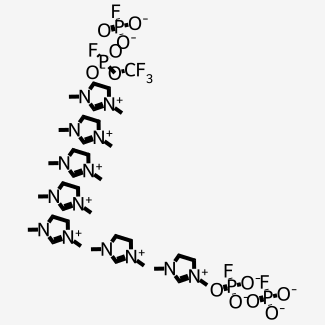 CN1C=[N+](C)CC1.CN1C=[N+](C)CC1.CN1C=[N+](C)CC1.CN1C=[N+](C)CC1.CN1C=[N+](C)CC1.CN1C=[N+](C)CC1.CN1C=[N+](C)CC1.O=P([O-])(F)OC(F)(F)F.O=P([O-])([O-])F.O=P([O-])([O-])F.O=P([O-])([O-])F